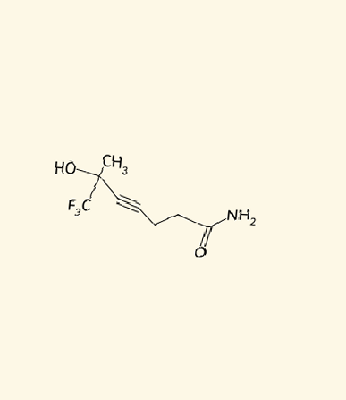 CC(O)(C#CCCC(N)=O)C(F)(F)F